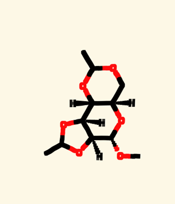 CO[C@H]1O[C@@H]2COC(C)O[C@H]2[C@@H]2OC(C)O[C@H]12